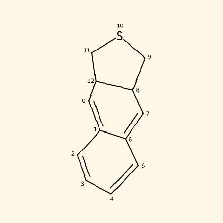 C1=c2ccccc2=CC2CSCC12